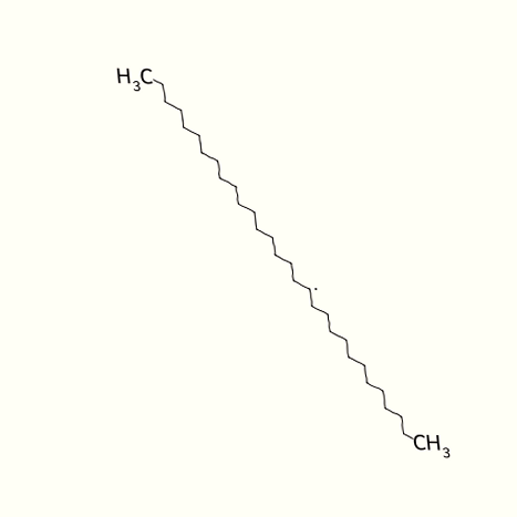 CCCCCCCCCCCC[CH]CCCCCCCCCCCCCCCCC